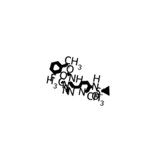 Cc1nc(-c2nnn(C)c2NC(=O)O[C@H](C)c2cccc(F)c2)ccc1N[S+]([O-])C1CC1